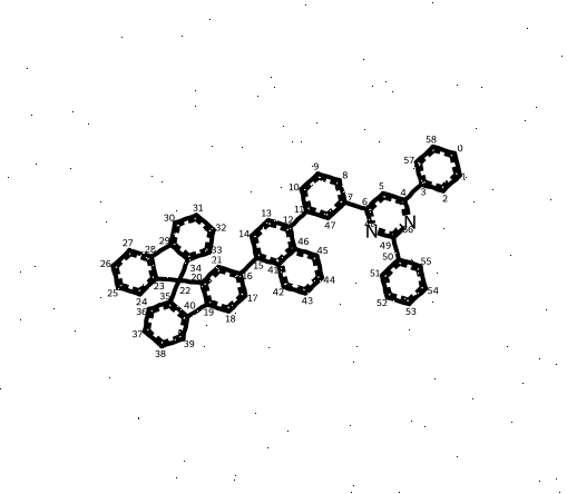 c1ccc(-c2cc(-c3cccc(-c4ccc(-c5ccc6c(c5)C5(c7ccccc7-c7ccccc75)c5ccccc5-6)c5ccccc45)c3)nc(-c3ccccc3)n2)cc1